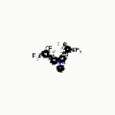 C[Si](C)(C1=Cc2c(n(-c3ccccc3)c3ccc([Si](C)(C)c4cc(C(F)(F)F)cc(C(F)(F)F)c4)cc23)CC1)c1cc(C(F)(F)F)cc(C(F)(F)F)c1